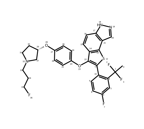 CC(F)(F)c1cc(F)ccc1-c1sc2c(ccc3[nH]ncc32)c1Oc1ccc(O[C@H]2CCN(CCCF)C2)cc1